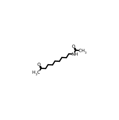 CC(=O)CCCCCCCCNC(C)=O